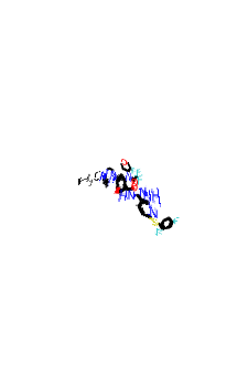 CN1CCN(c2ccc(C(=O)Nc3n[nH]c4nc(Sc5ccc(F)cc5F)ccc34)c(N(C(=O)C(F)(F)F)C3CCOCC3)c2)CC1